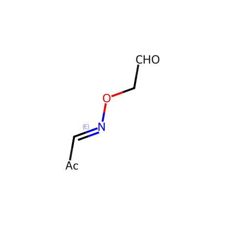 CC(=O)/C=N/OCC=O